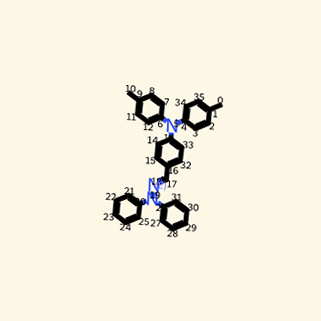 Cc1ccc(N(c2ccc(C)cc2)c2ccc(/C=N/N(c3ccccc3)c3ccccc3)cc2)cc1